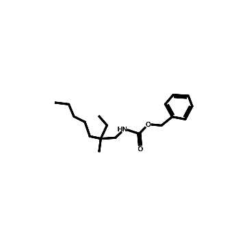 CCCCCC(C)(CC)CNC(=O)OCc1ccccc1